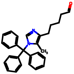 Cc1c(CCCCC=O)ncn1C(c1ccccc1)(c1ccccc1)c1ccccc1